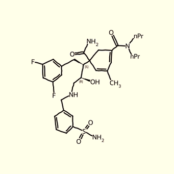 CCCN(CCC)C(=O)C1=CC(C)=CC(C(N)=O)([C@H](Cc2cc(F)cc(F)c2)[C@@H](O)CNCc2cccc(S(N)(=O)=O)c2)C1